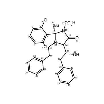 CC(C)(C)[C@]1(c2c(Cl)cccc2Cl)N(C(=O)O)C(=O)C([C@H](O)Cc2ccccc2)N1CCc1ccccc1